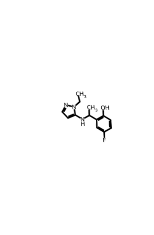 CCn1nccc1NC(C)c1cc(F)ccc1O